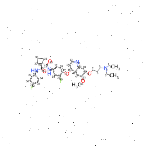 CCN(CC)CCCOc1cc2nccc(Oc3ccc(NC(=O)C4(C(=O)Nc5ccc(F)cc5)CCC4)cc3F)c2cc1OC